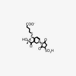 C[N+](C)(O)C(=O)C1=C(SSCCCC(=O)[O-])C=CN(N2C(=O)CC(S(=O)(=O)O)C2=O)C1